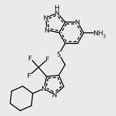 Nc1cc(SCc2cnn(C3CCCCC3)c2C(F)(F)F)c2nn[nH]c2n1